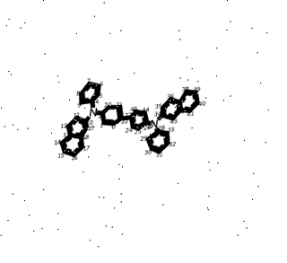 C1=CC(N(c2ccccc2)c2ccc3ccccc3c2)CC=C1c1ccc(N(c2ccccc2)c2ccc3ccccc3c2)cc1